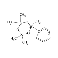 C[Si]1(C)O[Si](C)(C)O[Si](C)(c2ccccc2)O1